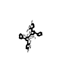 CC(C)(c1cc(-c2ccccc2)cc(-c2ccc(F)nc2F)n1)c1cc(-c2ccccc2)cc(-c2ccc(F)nc2F)n1